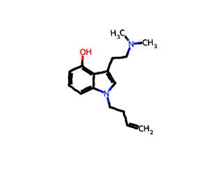 C=CCCn1cc(CCN(C)C)c2c(O)cccc21